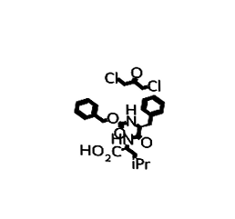 CC(C)C[C@H](NC(=O)[C@H](Cc1ccccc1)NC(=O)OCc1ccccc1)C(=O)O.O=C(CCl)CCl